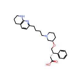 O=C(O)C[C@H](CO[C@@H]1CCCN(CCCCc2ccc3c(n2)NCCC3)C1)c1ccccc1